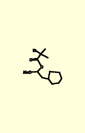 CCC(C)(C)C(=O)OC(CC1CCCCC1)OC